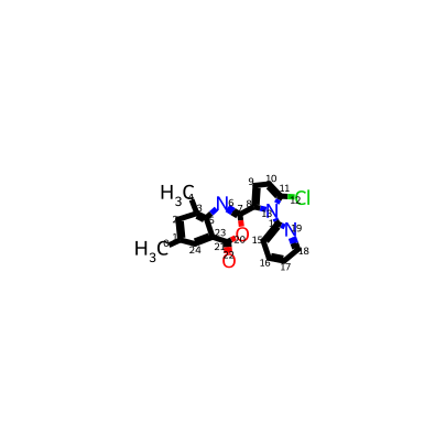 Cc1cc(C)c2nc(-c3ccc(Cl)n3-c3ccccn3)oc(=O)c2c1